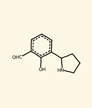 O=Cc1cccc(C2CCCN2)c1O